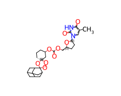 Cc1cn([C@H]2CC[C@@H](COC(=O)OC3CCC[C@]4(C3)OOC3(O4)C4CC5CC(C4)CC3C5)O2)c(=O)[nH]c1=O